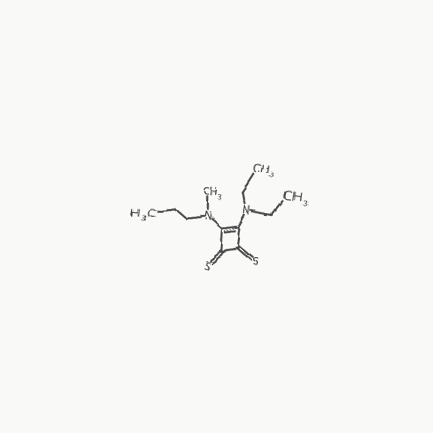 CCCN(C)c1c(N(CC)CC)c(=S)c1=S